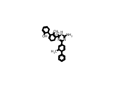 CC1=C(C2(C)N=C(C3=CC(C)C(c4ccccc4)C=C3)N=C(N)N2)CCC=C1C1CC=CC=C1O